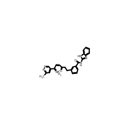 C/N=C(\C=C/C(=O)CCc1cccc(C(=O)Nc2nc3ccccc3[nH]2)c1)c1cnnc(C)c1